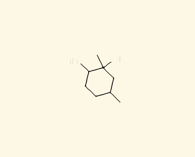 [CH2]C1(O)CC(C)CCC1C(C)C